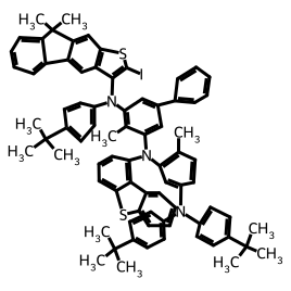 Cc1ccc(N(c2ccc(C(C)(C)C)cc2)c2ccc(C(C)(C)C)cc2)cc1N(c1cc(-c2ccccc2)cc(N(c2ccc(C(C)(C)C)cc2)c2c(I)sc3cc4c(cc23)-c2ccccc2C4(C)C)c1C)c1cccc2sc3ccccc3c12